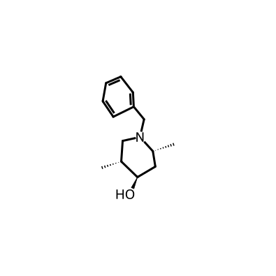 C[C@@H]1CN(Cc2ccccc2)[C@H](C)C[C@H]1O